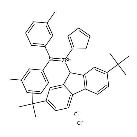 Cc1cccc([Si](c2cccc(C)c2)=[Zr+2]([C]2=CC=CC2)[CH]2c3cc(C(C)(C)C)ccc3-c3ccc(C(C)(C)C)cc32)c1.[Cl-].[Cl-]